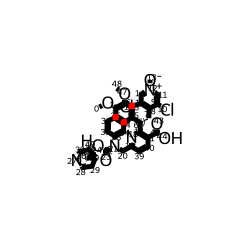 COc1ccc([C@H](Cc2c(Cl)c[n+]([O-])cc2Cl)c2nc(CN(C(=O)O[C@H]3CN4CCC3CC4)c3ccccc3)ccc2C(=O)O)cc1OC